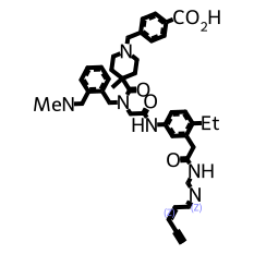 C#C/C=C\C=N/CNC(=O)Cc1cc(NC(=O)CN(Cc2ccccc2CNC)C(=O)C2(C)CCN(Cc3ccc(C(=O)O)cc3)CC2)ccc1CC